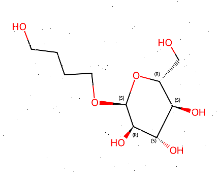 OCCCCO[C@H]1O[C@H](CO)[C@@H](O)[C@H](O)[C@H]1O